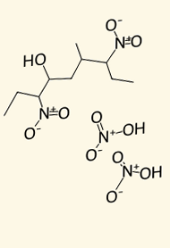 CCC(C(C)CC(O)C(CC)[N+](=O)[O-])[N+](=O)[O-].O=[N+]([O-])O.O=[N+]([O-])O